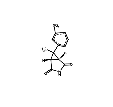 CC1(c2cccc([N+](=O)[O-])c2)[C@@H]2C(=O)NC(=O)[C@@H]21